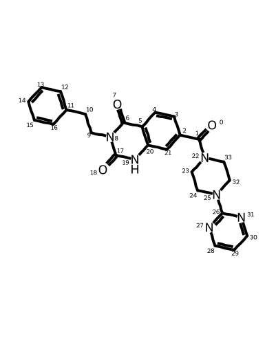 O=C(c1ccc2c(=O)n(CCc3ccccc3)c(=O)[nH]c2c1)N1CCN(c2ncccn2)CC1